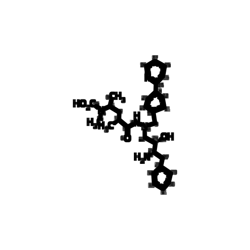 CC(C[C@H](C)C(=O)NN(Cc1ccc(-c2ccccn2)cc1)C[C@H](O)[C@@H](N)Cc1ccccc1)N(C)C(=O)O